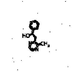 Cc1nccnc1CC(O)c1ccccc1